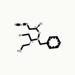 CC[C@H](CN=[N+]=[N-])ON(Cc1ccccc1)[C@H](CCO)CC(C)C